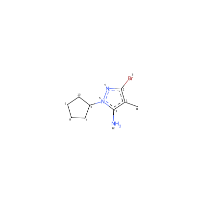 Cc1c(Br)nn(C2CCCC2)c1N